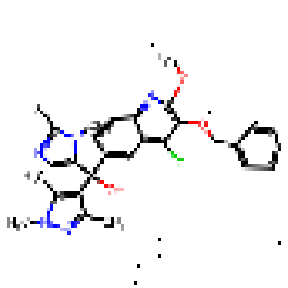 COc1nc2ccc(C(O)(c3c(C)nn(C)c3C)c3cnc(C)n3C)cc2c(Cl)c1OCc1ccccc1